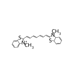 CN1/C(=C/C=C/C=C/C=C/c2sc3ccccc3[n+]2C)SC2C=CC=CC21